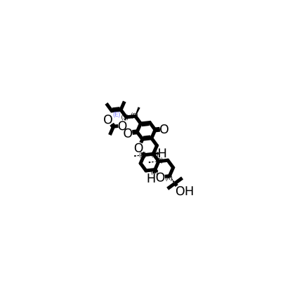 C/C=C(\C)[C@@H](OC(C)=O)[C@@H](C)C1=CC(=O)C2=C(O[C@]3(C)CC[C@H]4O[C@@H](C(C)(C)O)CC[C@]4(C)[C@H]3C2)C1=O